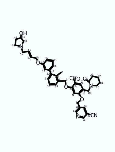 Cc1c(COc2cc(OCc3cncc(C#N)c3)c(CN3CCCCC3C(=O)O)cc2Cl)cccc1-c1cccc(OCC=CCN2CCC(O)C2)c1